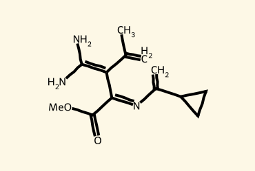 C=C(C)C(=C(N)N)/C(=N\C(=C)C1CC1)C(=O)OC